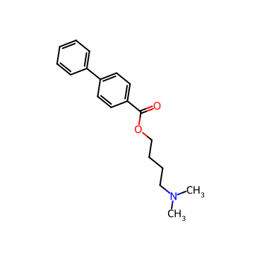 CN(C)CCCCOC(=O)c1ccc(-c2ccccc2)cc1